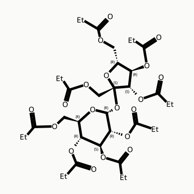 CCC(=O)OC[C@H]1O[C@@](COC(=O)CC)(O[C@H]2O[C@H](COC(=O)CC)[C@@H](OC(=O)CC)[C@H](OC(=O)CC)[C@H]2OC(=O)CC)[C@@H](OC(=O)CC)[C@@H]1OC(=O)CC